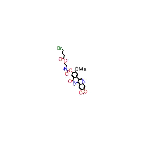 COc1cc2c(cc1OC(=O)N(C)CCOC(=O)CCCBr)c(=O)n(C)c1c3cc4c(cc3ncc21)OCO4